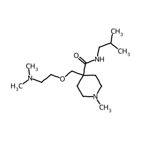 CC(C)CNC(=O)C1(COCCN(C)C)CCN(C)CC1